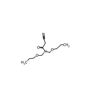 CCCOCN(COCCC)C(=O)CC#N